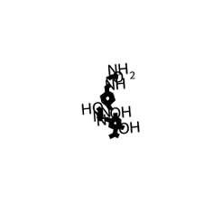 CC(C)c1cc(-c2nnc(O)n2Cc2ccc(CNCC(N)=O)cc2)c(O)cc1O